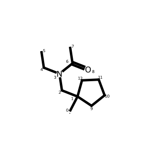 [CH2]C1(CN(CC)C(C)=O)CCCC1